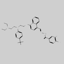 CCN(CC)CCN(CCOc1ccc(/C=N/NC(=O)c2ccc(O)c(Cl)c2)c2ccccc12)c1ccc(C(F)(F)F)cc1